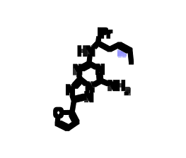 C/C=C\CC(Nc1nc(N)n2nc(-c3ccco3)nc2n1)C(C)C